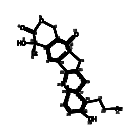 CC[C@@]1(O)C(=O)OCc2c1cc1n(c2=O)Cc2cc3c(CCC(C)=O)c(O)ccc3nc2-1